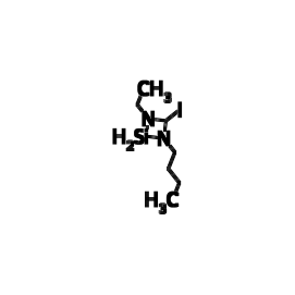 CCCCN1[SiH2]N(CC)C1I